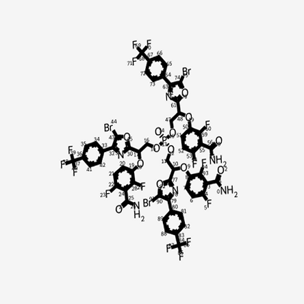 NC(=O)c1c(F)ccc(OC(COP(=O)(OCC(Oc2ccc(F)c(C(N)=O)c2F)c2nc(-c3ccc(C(F)(F)F)cc3)c(Br)o2)OCC(Oc2ccc(F)c(C(N)=O)c2F)c2nc(-c3ccc(C(F)(F)F)cc3)c(Br)o2)c2nc(-c3ccc(C(F)(F)F)cc3)c(Br)o2)c1F